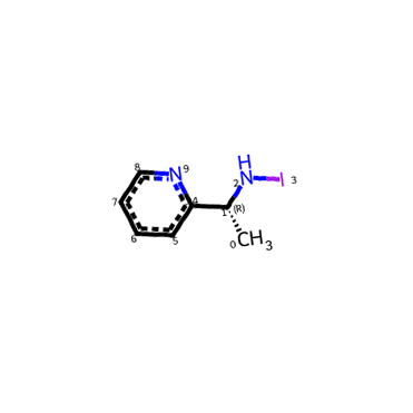 C[C@@H](NI)c1ccccn1